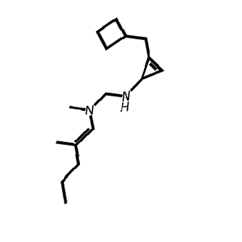 CCC/C(C)=C/N(C)CNC1C=C1CC1CCC1